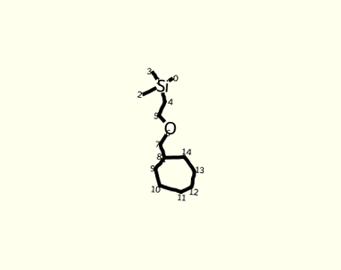 C[Si](C)(C)CCOC[C]1CCCCCC1